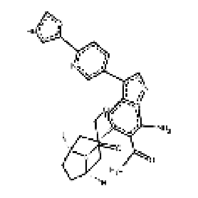 CC(=O)c1c([C@@H]2C[C@H]3CC[C@@H](C2)N3C(=O)CO)nc2c(-c3ccc(-c4c[nH]cn4)nc3)cnn2c1N